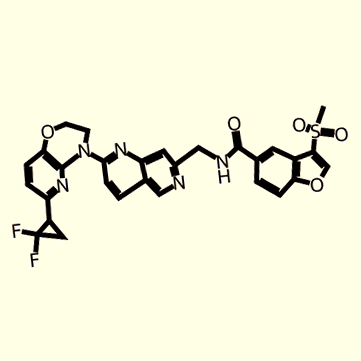 CS(=O)(=O)c1coc2ccc(C(=O)NCc3cc4nc(N5CCOc6ccc(C7CC7(F)F)nc65)ccc4cn3)cc12